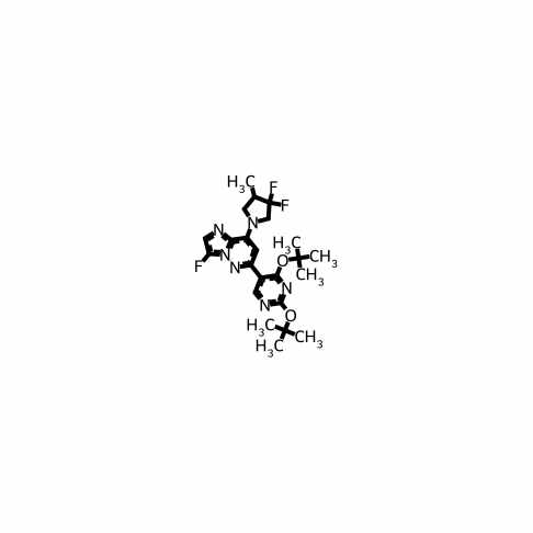 CC1CN(c2cc(-c3cnc(OC(C)(C)C)nc3OC(C)(C)C)nn3c(F)cnc23)CC1(F)F